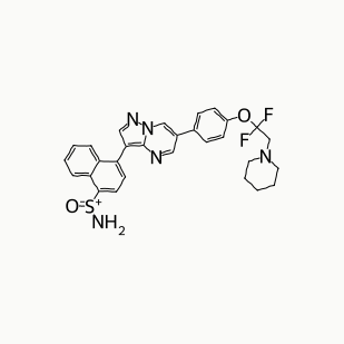 N[S+]([O-])c1ccc(-c2cnn3cc(-c4ccc(OC(F)(F)CN5CCCCC5)cc4)cnc23)c2ccccc12